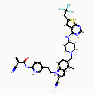 C=C(C#N)C(=O)Nc1ccc(CCn2c(C#N)cc3c(C)c(CN4CCC(Nc5ncnc6sc(CC(F)(F)F)cc56)CC4)ccc32)cn1